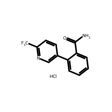 Cl.NC(=O)c1ccccc1-c1ccc(C(F)(F)F)nc1